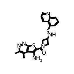 Cc1nnc2sc(C(=O)N3CC(NSc4cccc5ncccc45)C3)c(N)c2c1C